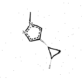 C[C@H]1C[C@H]1c1cnn(C)c1